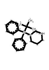 CC(C)(C)[Si](c1ccccc1)(c1ccccc1)N1CCCNC1